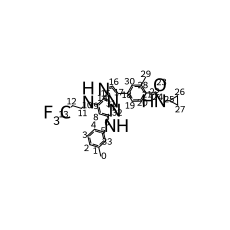 Cc1cccc(Nc2cc(NCCC(F)(F)F)c3ncc(-c4ccc(C(=O)NC5CC5)c(C)c4)n3n2)c1